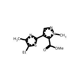 CCc1sc(-c2cnn(C)c2C(=O)OC)nc1C